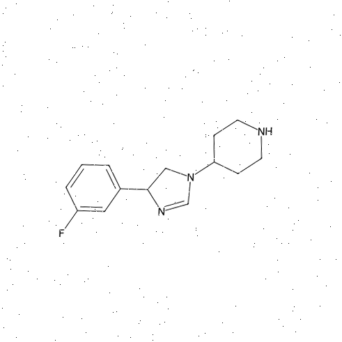 Fc1cccc(C2CN(C3CCNCC3)C=N2)c1